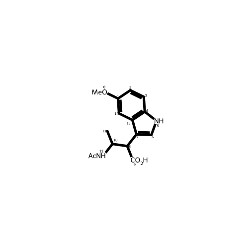 COc1ccc2[nH]cc(C(C(=O)O)C(C)NC(C)=O)c2c1